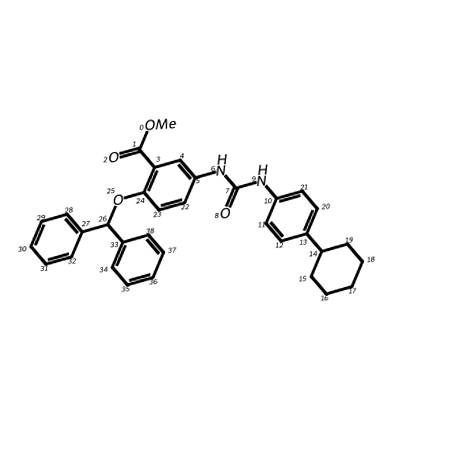 COC(=O)c1cc(NC(=O)Nc2ccc(C3CCCCC3)cc2)ccc1OC(c1ccccc1)c1ccccc1